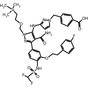 C[Si](C)(C)CCOCn1nc(-c2ccc(NS(=O)(=O)C(F)F)c(OCCc3ccc(F)cc3)c2)c(C(N)=O)c1Nc1ccn(Cc2ccc(C(=O)O)cc2)n1